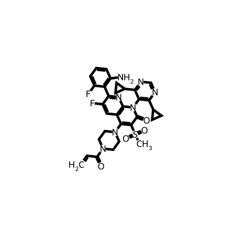 C=CC(=O)N1CCN(c2c(S(C)(=O)=O)c(=O)n(-c3c(C4CC4)ncnc3C3CC3)c3nc(-c4c(N)cccc4F)c(F)cc23)CC1